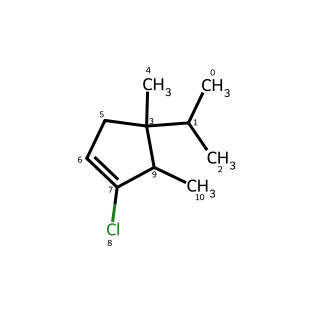 CC(C)C1(C)CC=C(Cl)C1C